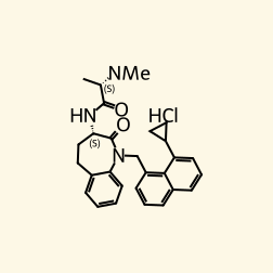 CN[C@@H](C)C(=O)N[C@H]1CCc2ccccc2N(Cc2cccc3cccc(C4CC4)c23)C1=O.Cl